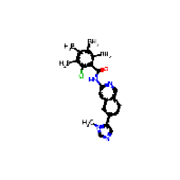 Bc1c(B)c(B)c(C(=O)Nc2cc3cc(-c4cncn4C)ccc3cn2)c(Cl)c1B